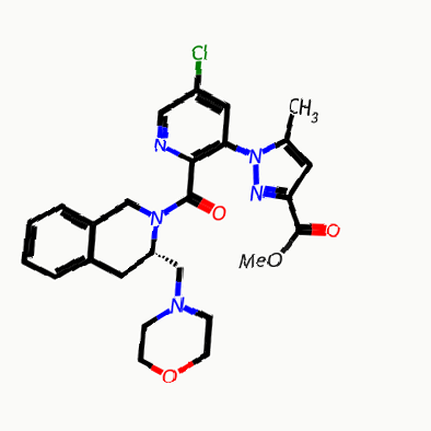 COC(=O)c1cc(C)n(-c2cc(Cl)cnc2C(=O)N2Cc3ccccc3C[C@H]2CN2CCOCC2)n1